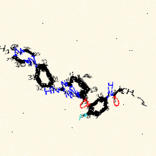 C=CC(=O)Nc1ccc(F)c(Oc2cccc3nc(Nc4ccc(N5CCN(C)CC5)cc4)nn23)c1